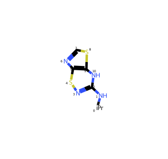 CC(C)NC1=NSc2ncsc2N1